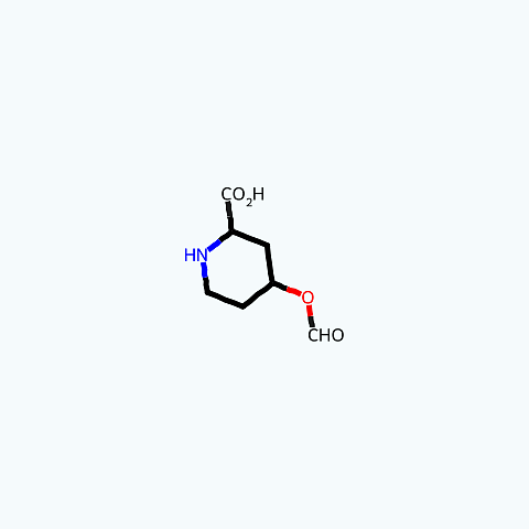 O=COC1CCNC(C(=O)O)C1